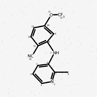 Cc1ncccc1Nc1cc(OC(F)(F)F)ccc1C#N